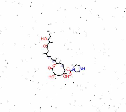 CCC(O)C(C)C1OC1CC(C)/C=C/C=C(\C)C1OC(=O)CC(O)CCC(C)(O)C(OC(=O)N2CCCNCC2)/C=C/C1C